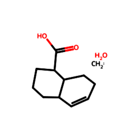 O.O=C(O)C1CCCC2C=CCCC21.[CH2]